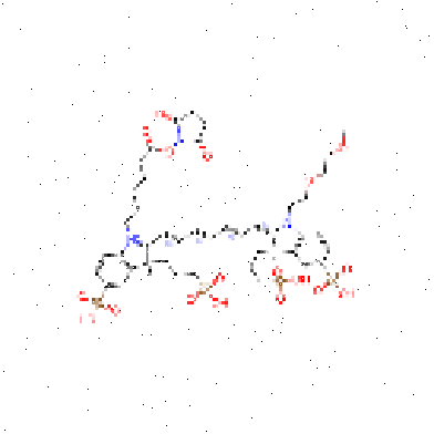 COCCOCCN1/C(=C/C=C/C=C/C=C/C2=[N+](CCCCCC(=O)ON3C(=O)CCC3=O)c3ccc(S(=O)(=O)O)cc3C2(C)CCCS(=O)(=O)O)C(C)(CCCS(=O)(=O)O)c2cc(S(=O)(=O)O)ccc21